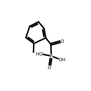 Cc1ccccc1C(=O)P(=O)(O)O